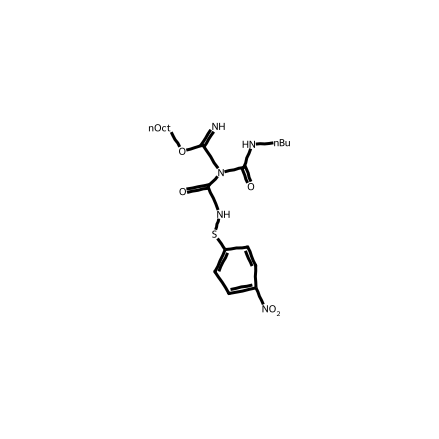 CCCCCCCCOC(=N)N(C(=O)NCCCC)C(=O)NSc1ccc([N+](=O)[O-])cc1